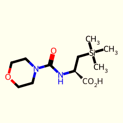 C[Si](C)(C)C[C@H](NC(=O)N1CCOCC1)C(=O)O